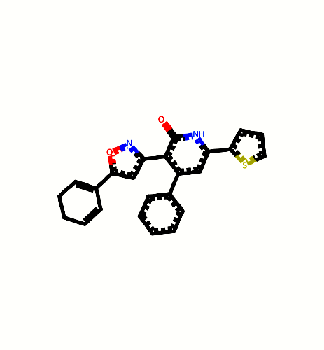 O=c1[nH]c(-c2cccs2)cc(-c2ccccc2)c1-c1cc(C2=CCCC=C2)on1